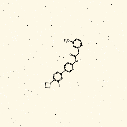 O=C(Cc1cccc(C(F)(F)F)c1)Nc1ccc(-c2ccc([C]3CCC3)c(F)c2)cn1